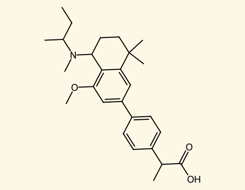 CCC(C)N(C)C1CCC(C)(C)c2cc(-c3ccc(C(C)C(=O)O)cc3)cc(OC)c21